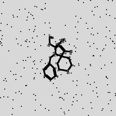 CC(C)(C)OC(=O)N(Cc1ccccc1)C1(C(Cl)=NO)CCOCC1